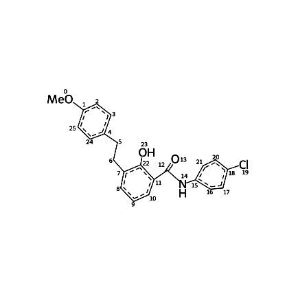 COc1ccc(CCc2cccc(C(=O)Nc3ccc(Cl)cc3)c2O)cc1